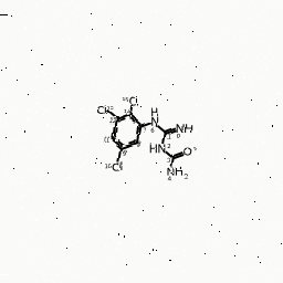 N=C(NC(N)=O)Nc1cc(Cl)cc(Cl)c1Cl